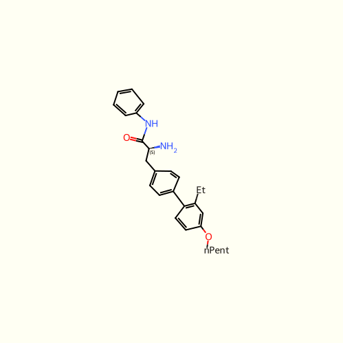 CCCCCOc1ccc(-c2ccc(C[C@H](N)C(=O)Nc3ccccc3)cc2)c(CC)c1